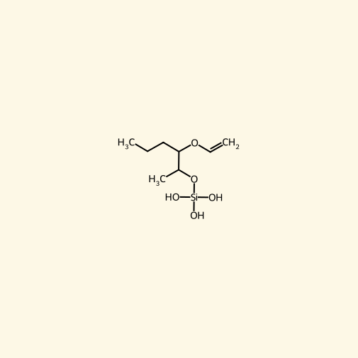 C=COC(CCC)C(C)O[Si](O)(O)O